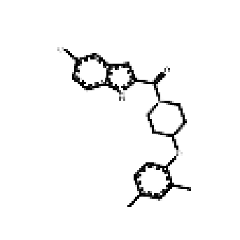 Cc1ccc(OC2CCN(C(=O)c3cc4cc(Cl)ccc4[nH]3)CC2)c(C)c1